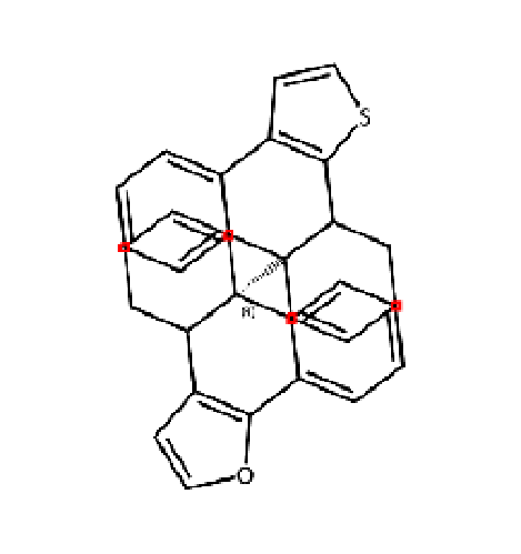 C1=CC2([C@@]34C=CCCC3c3ccoc3-c3ccccc34)c3ccccc3-c3ccsc3C2CC1